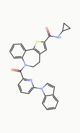 O=C(NC1CC1)c1cc2c(s1)-c1ccccc1N(C(=O)c1cccc(-n3ccc4ccccc43)n1)CC2